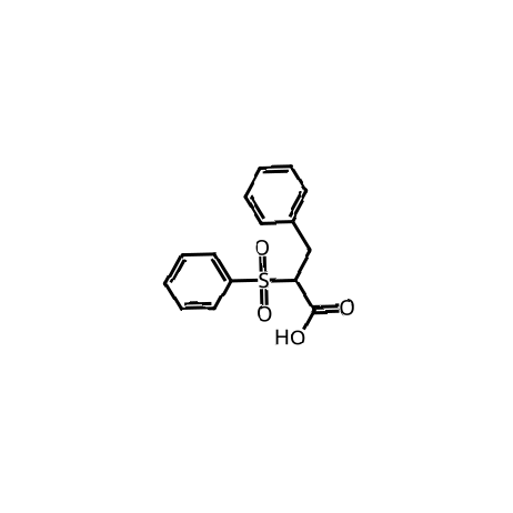 O=C(O)C(Cc1ccccc1)S(=O)(=O)c1ccccc1